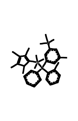 CC1=C(C)C(C)[C]([Ti]([CH3])([CH3])([CH3])[Si](c2ccccc2)(c2cc(C)cc([Si](C)(C)C)c2)c2ccccc2C)=C1C